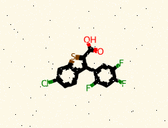 O=C(O)c1sc2cc(Cl)ccc2c1-c1cc(F)c(F)cc1F